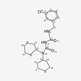 O=C(NCc1cccc(Cl)c1)NC(=O)N(C1CCCCC1)C1CCCCC1